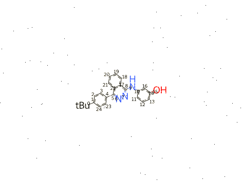 CC(C)(C)c1ccc(-c2nnc(Nc3cccc(O)c3)c3ccccc23)cc1